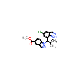 COC(=O)c1ccc2c(cnn2C(c2cc(Cl)cc3cn[nH]c23)C(C)C)c1